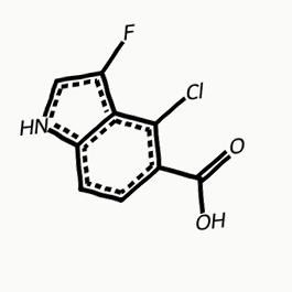 O=C(O)c1ccc2[nH]cc(F)c2c1Cl